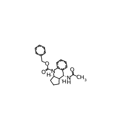 CC(=O)N[C@H]1c2ccccc2N(C(=O)OCc2ccccc2)[C@@H]2CCC[C@@H]21